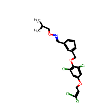 CC(C)CON=Cc1cccc(COc2c(Cl)cc(OCC=C(Cl)Cl)cc2Cl)c1